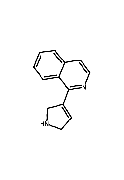 C1=C(c2nccc3ccccc23)CNC1